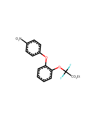 CCOC(=O)C(F)(F)Oc1ccccc1Oc1ccc([N+](=O)[O-])cc1